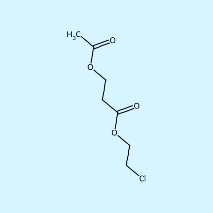 CC(=O)OCCC(=O)OCCCl